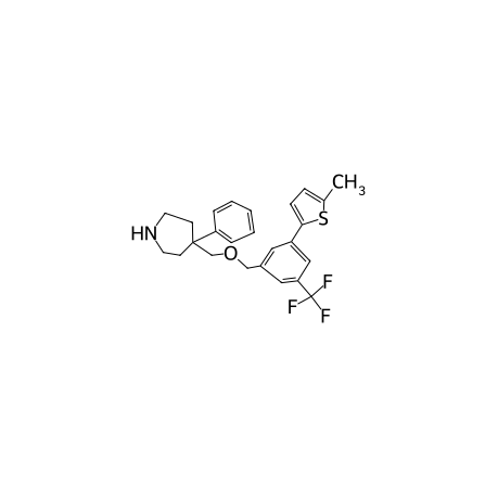 Cc1ccc(-c2cc(COCC3(c4ccccc4)CCNCC3)cc(C(F)(F)F)c2)s1